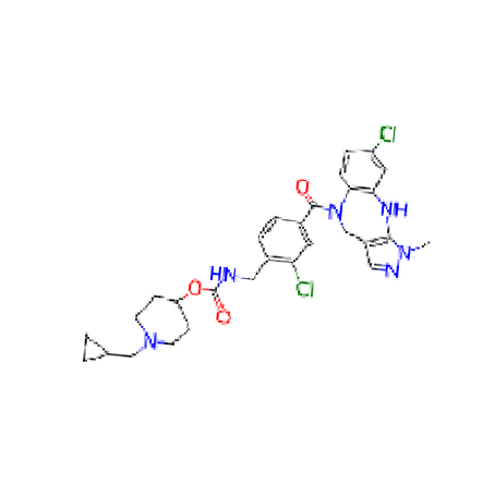 Cn1ncc2c1Nc1cc(Cl)ccc1N(C(=O)c1ccc(CNC(=O)OC3CCN(CC4CC4)CC3)c(Cl)c1)C2